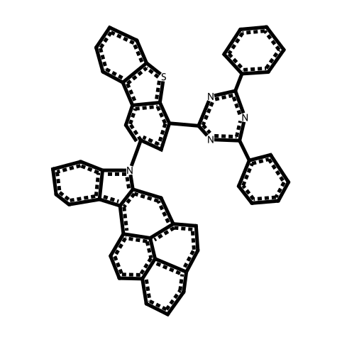 c1ccc(-c2nc(-c3ccccc3)nc(-c3cc(-n4c5ccccc5c5c6ccc7cccc8ccc(cc54)c6c87)cc4c3sc3ccccc34)n2)cc1